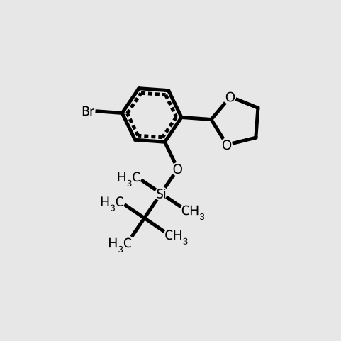 CC(C)(C)[Si](C)(C)Oc1cc(Br)ccc1C1OCCO1